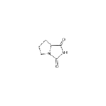 O=C1NC(=O)N2CCC[C]12